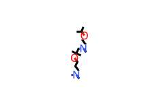 CC(C)OCCN(C)CC(C)(C)OCCCN(C)C